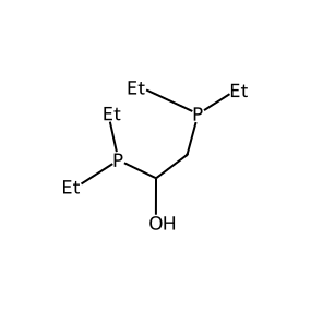 CCP(CC)CC(O)P(CC)CC